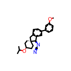 COc1cccc(-c2ccc3c(c2)/C(=N/C#N)[C@]2(CC[C@H](OC(C)C)CC2)C3)c1